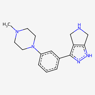 CN1CCN(c2cccc(-c3n[nH]c4c3CNC4)c2)CC1